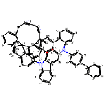 C=C1/C=C\C=C/Cc2ccccc2C2(c3ccccc31)c1ccccc1-c1ccc(-n3c4ccccc4c4cc(N(c5ccc(-c6ccccc6)cc5)c5ccccc5-c5ccccc5)ccc43)cc12